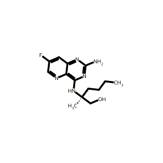 CCCC[C@@](C)(CO)Nc1nc(N)nc2cc(F)cnc12